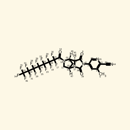 Cc1cc(N2C(=O)[C@@H]3[C@@H]4C[C@@H](CN4C(=O)C(F)(F)C(F)(F)C(F)(F)C(F)(F)C(F)(F)C(F)(F)C(F)(F)F)N3C2=O)cnc1C#N